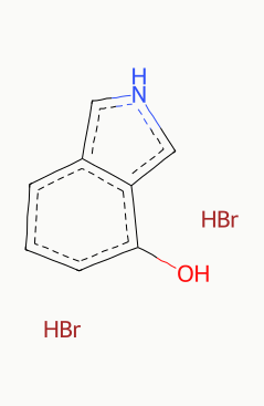 Br.Br.Oc1cccc2c[nH]cc12